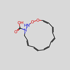 O=C(O)N1C/C=C/C=C/C=C\C=C\C=C\C=C/OON1